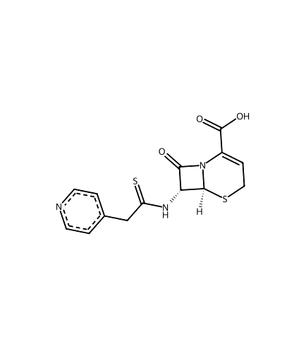 O=C(O)C1=CCS[C@H]2[C@H](NC(=S)Cc3ccncc3)C(=O)N12